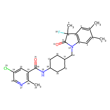 Cc1cc2c(cc1C)C(C)(F)C(=O)N2CC1CCC(NC(=O)c2cc(Cl)cnc2C)CC1